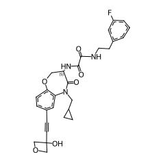 O=C(NCCc1cccc(F)c1)C(=O)N[C@H]1COc2ccc(C#CC3(O)COC3)cc2N(CC2CC2)C1=O